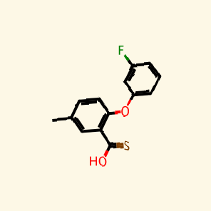 Cc1ccc(Oc2cccc(F)c2)c(C(O)=S)c1